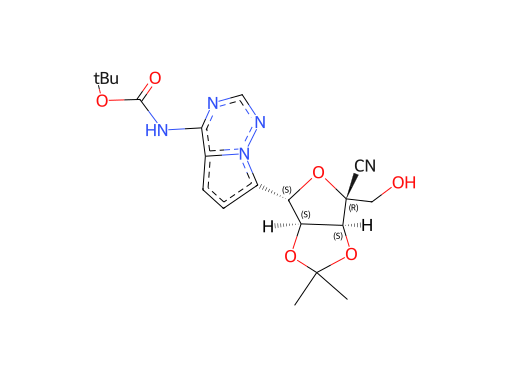 CC(C)(C)OC(=O)Nc1ncnn2c([C@@H]3O[C@](C#N)(CO)[C@H]4OC(C)(C)O[C@@H]34)ccc12